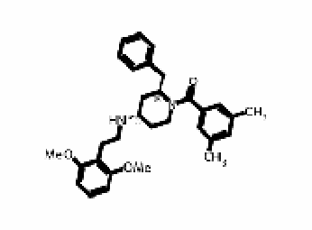 COc1cccc(OC)c1CCN[C@H]1CCN(C(=O)c2cc(C)cc(C)c2)[C@H](Cc2ccccc2)C1